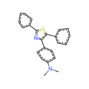 CN(C)c1ccc(-c2nc(-c3ccccc3)sc2-c2ccccc2)cc1